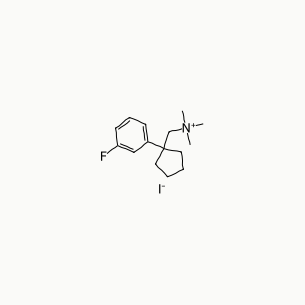 C[N+](C)(C)CC1(c2cccc(F)c2)CCCC1.[I-]